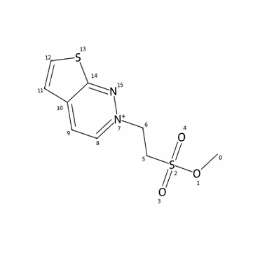 COS(=O)(=O)CC[n+]1ccc2ccsc2n1